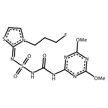 COc1nc(NC(=O)NS(=O)(=O)N=c2sccn2CCCF)nc(OC)n1